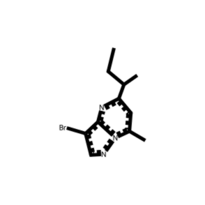 CCC(C)c1cc(C)n2ncc(Br)c2n1